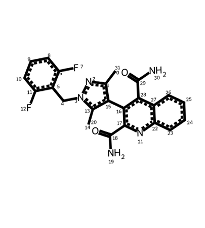 Cc1nn(Cc2c(F)cccc2F)c(C)c1-c1c(C(N)=O)nc2ccccc2c1C(N)=O